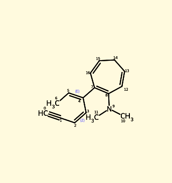 C#C/C=C\C(=C/C)C1=C(N(C)C)C=CCC=C1